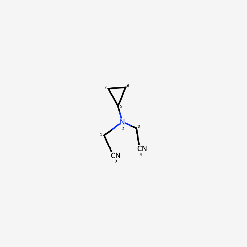 N#CCN(CC#N)C1CC1